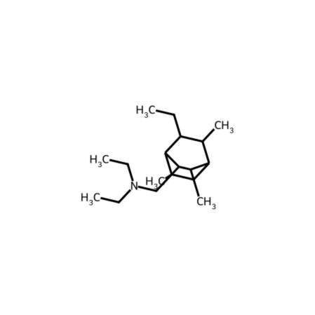 CCC1C(C)C2CC(C)C1C(CN(CC)CC)C2C